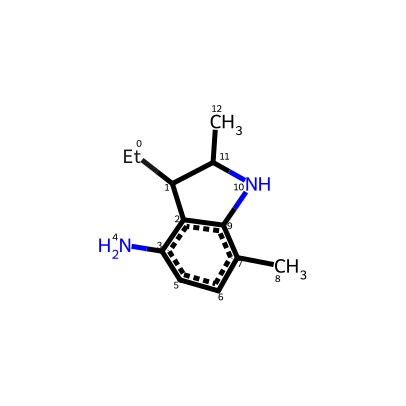 CCC1c2c(N)ccc(C)c2NC1C